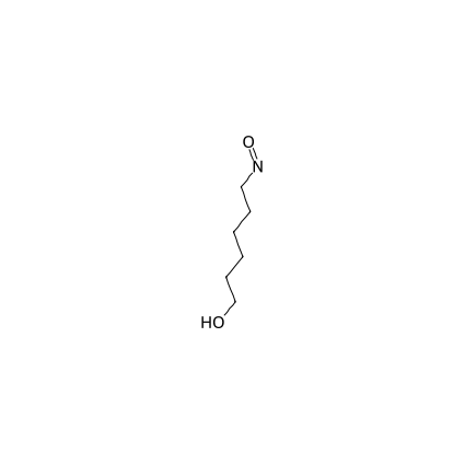 O=NCCCCCCO